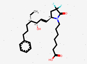 CC[C@@H](CCCc1ccccc1)[C@@H](O)C=C[C@H]1CC(F)(F)C(=O)N1CCCCCCC(=O)O